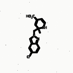 CC1(Cn2cc3cc(Cl)ccc3n2)C=C(C(=O)O)C=CN1